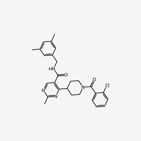 Cc1cc(C)cc(CNC(=O)c2cnc(C)nc2C2CCN(C(=O)c3ccccc3Cl)CC2)c1